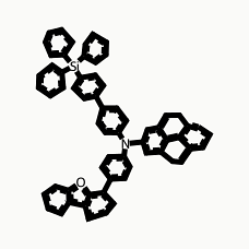 C1=c2cccc3c2=c2c(cc(N(c4ccc(-c5ccc([Si](c6ccccc6)(c6ccccc6)c6ccccc6)cc5)cc4)c4ccc(-c5cccc6c5oc5ccccc56)cc4)cc2=CC3)C1